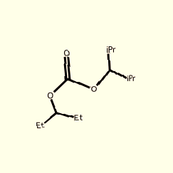 CCC(CC)OC(=O)OC(C(C)C)C(C)C